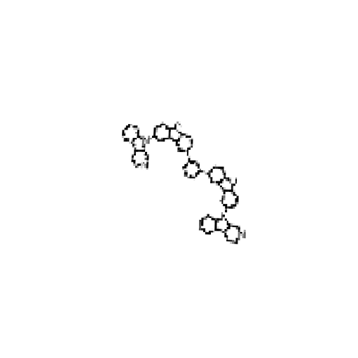 c1cc(-c2ccc3oc4ccc(-n5c6ccccc6c6ccncc65)cc4c3c2)cc(-c2ccc3oc4ccc(-n5c6ccccc6c6ccncc65)cc4c3c2)c1